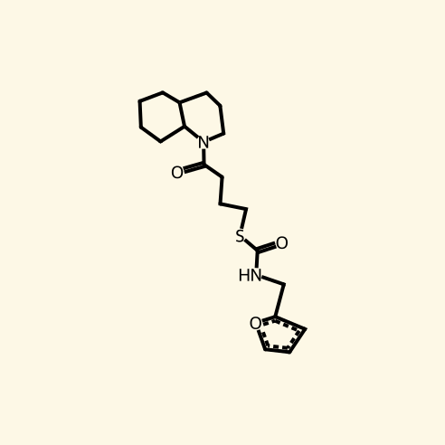 O=C(NCc1ccco1)SCCCC(=O)N1CCCC2CCCCC21